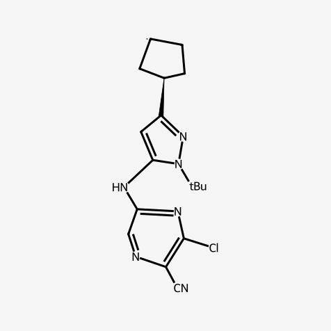 CC(C)(C)n1nc([C@H]2C[CH]CC2)cc1Nc1cnc(C#N)c(Cl)n1